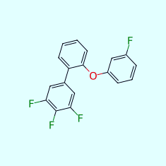 Fc1cccc(Oc2ccccc2-c2cc(F)c(F)c(F)c2)c1